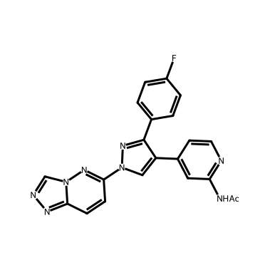 CC(=O)Nc1cc(-c2cn(-c3ccc4nncn4n3)nc2-c2ccc(F)cc2)ccn1